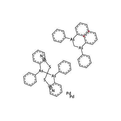 N#CSC(SC#N)([As](c1ccccc1)c1ccccc1)[As](c1ccccc1)c1ccccc1.[Pd].[Pd].c1ccc([As](C[As](c2ccccc2)c2ccccc2)c2ccccc2)cc1